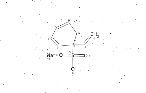 C=CC1(S(=O)(=O)[O-])C=CC=CC1.[Na+]